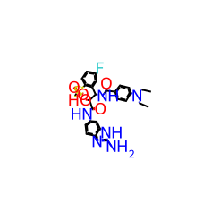 CCN(CC)c1ccc(C(=O)NC(c2cc(F)ccc2S(C)(=O)=O)C(O)C(=O)Nc2ccc3nc(N)[nH]c3c2)cc1